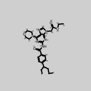 CCCC(CC)c1ccc(C(=O)Nc2nc(N3CCOCC3)c3ncn(CC(=O)OCC)c3n2)cc1